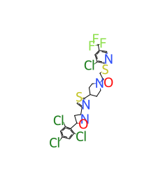 O=C(CSc1ncc(C(F)(F)F)cc1Cl)N1CCC(c2nc(C3=NOC(c4c(Cl)cc(Cl)cc4Cl)C3)cs2)CC1